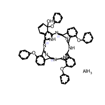 OC1(Oc2ccccc2)C=CC=c2c1c1[nH]\c2=N/C2=N\C(=N/c3[nH]c(c4cccc(Oc5ccccc5)c34)NC3=N/C(=N\1)c1cccc(Oc4ccccc4)c13)c1cccc(Oc3ccccc3)c12.[AlH3]